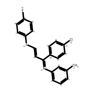 Cc1cccc(N=C(C=CSc2ccc(F)cc2)c2ccc(Cl)cc2)c1